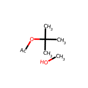 CC(=O)OC(C)(C)C.CO